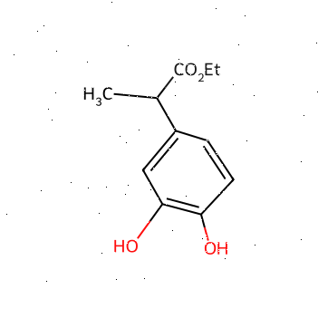 CCOC(=O)C(C)c1ccc(O)c(O)c1